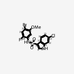 COc1cc(NS(=O)(=O)c2c[nH]c3cc(Cl)ccc23)c(F)cc1Br